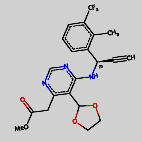 C#C[C@@H](Nc1ncnc(CC(=O)OC)c1C1OCCO1)c1cccc(C(F)(F)F)c1C